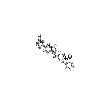 O=C(c1ccccc1)N1CCC(Cn2ccc3nc(-c4cn[nH]c4)ccc32)CC1